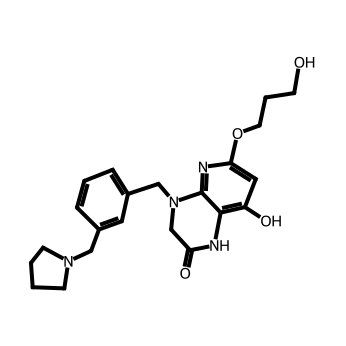 O=C1CN(Cc2cccc(CN3CCCC3)c2)c2nc(OCCCO)cc(O)c2N1